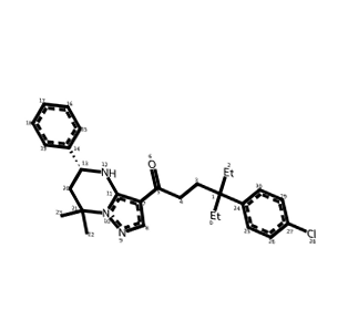 CCC(CC)(CCC(=O)c1cnn2c1N[C@@H](c1ccccc1)CC2(C)C)c1ccc(Cl)cc1